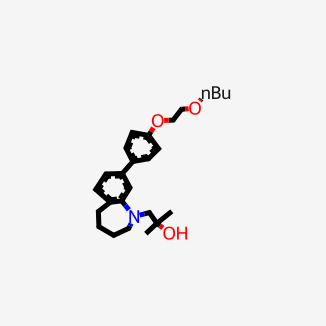 CCCCOCCOc1ccc(-c2ccc3c(c2)N(CC(C)(C)O)CCCC3)cc1